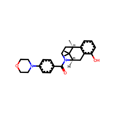 CC1(C)[C@H]2Cc3c(O)cccc3[C@]1(C)CCN2C(=O)c1ccc(N2CCOCC2)cc1